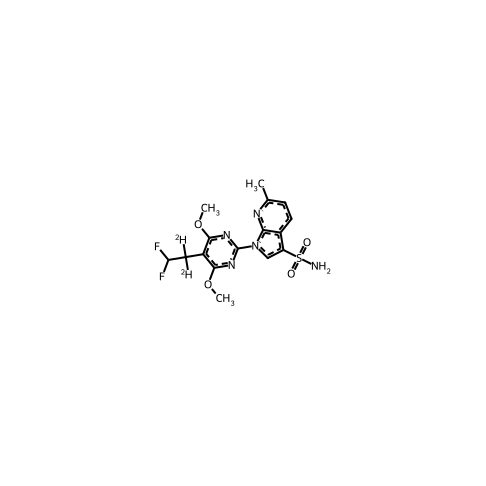 [2H]C([2H])(c1c(OC)nc(-n2cc(S(N)(=O)=O)c3ccc(C)nc32)nc1OC)C(F)F